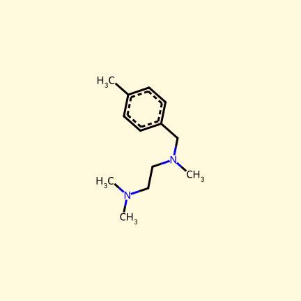 Cc1ccc(CN(C)CCN(C)C)cc1